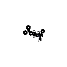 N#CC1=NN(c2ccccc2)C(=O)/C1=C\c1cc2oc3cc(N(c4ccccc4)c4ccccc4)ccc3c2s1